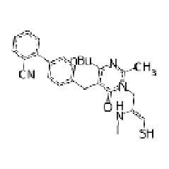 CCCCc1nc(C)n(C/C(=C/S)NI)c(=O)c1Cc1ccc(-c2ccccc2C#N)cc1